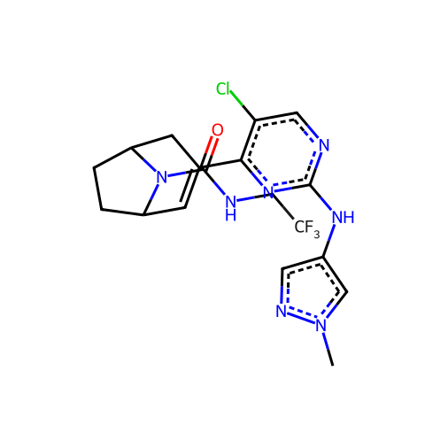 Cn1cc(Nc2ncc(Cl)c(C3=CC4CCC(C3)N4C(=O)NCC(F)(F)F)n2)cn1